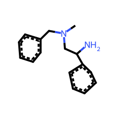 CN(Cc1ccccc1)CC(N)c1ccccc1